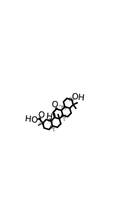 CC1(C)C2CC[C@]3(C)C(C(=O)C=C4[C@@H]5C[C@@](C)(C(=O)O)CC[C@]5(C)CCC43C)[C@@]2(C)CC[C@@H]1O